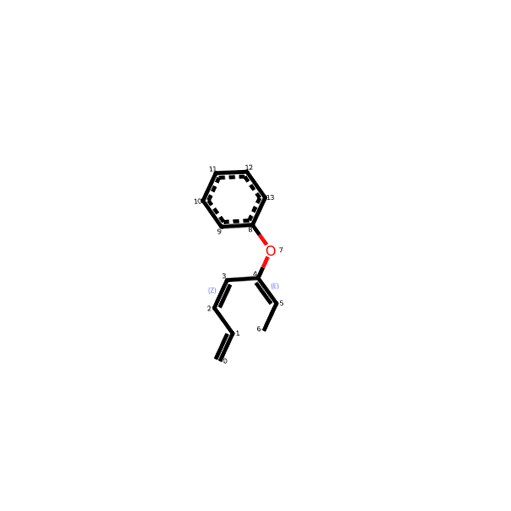 C=C/C=C\C(=C/C)Oc1ccccc1